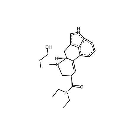 CCN(CC)C(=O)[C@@H]1C=C2c3cccc4[nH]cc(c34)C[C@H]2N(C)C1.[CH2]CCO